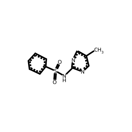 Cc1cnc(NS(=O)(=O)c2ccccc2)nc1